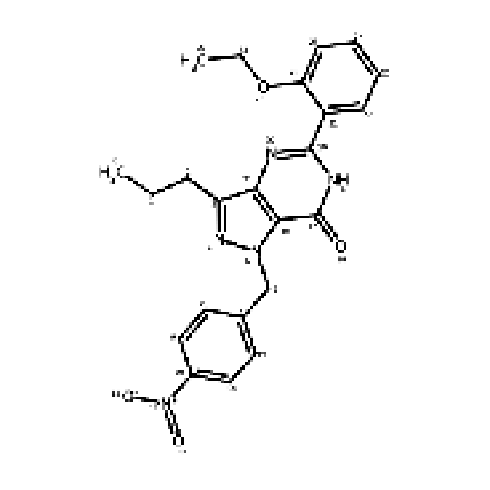 CCCc1nn(Cc2ccc([N+](=O)[O-])cc2)c2c(=O)[nH]c(-c3ccccc3OCC)nc12